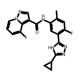 Cc1cc(F)c(-c2nnc(C3CC3)[nH]2)cc1NC(=O)c1cnn2cccc(F)c12